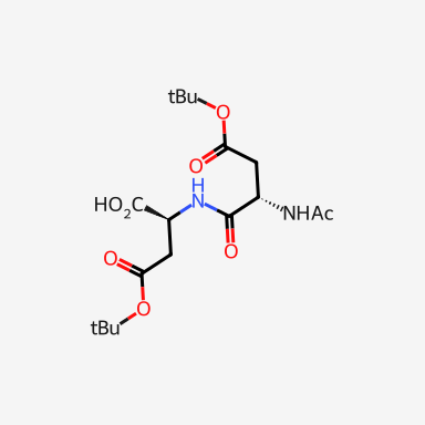 CC(=O)N[C@@H](CC(=O)OC(C)(C)C)C(=O)N[C@@H](CC(=O)OC(C)(C)C)C(=O)O